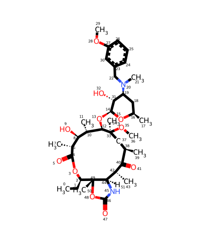 CC[C@H]1OC(=O)[C@H](C)[C@@H](O)[C@H](C)[C@@H](O[C@@H]2O[C@H](C)C[C@H](N(C)Cc3cccc(OC)c3)[C@H]2O)[C@@](C)(OC)C[C@@H](C)C(=O)[C@H](C)[C@H]2NC(=O)O[C@@]21C